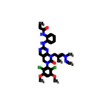 C=CC(=O)Nc1ccccc1Nc1ncc2c(n1)N(C/C(C)=C/N(C)N=C)C(=O)N(c1c(Cl)c(OC)cc(OC)c1Cl)C2